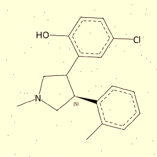 Cc1ccccc1[C@H]1CN(C)CC1c1cc(Cl)ccc1O